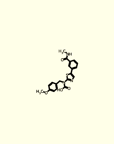 CNC(=O)c1cccc(-c2cnc(N(Cc3ccc(OC)cc3)C(=O)O)s2)c1